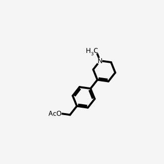 CC(=O)OCc1ccc(C2=CCCN(C)C2)cc1